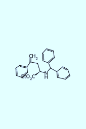 C=C(C[C@@H](NC(c1ccccc1)c1ccccc1)C(=O)OCC)c1ccccc1